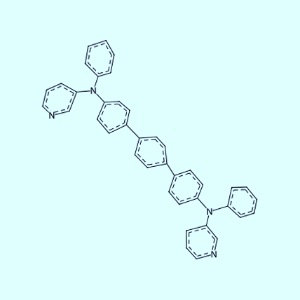 c1ccc(N(c2ccc(-c3ccc(-c4ccc(N(c5ccccc5)c5cccnc5)cc4)cc3)cc2)c2cccnc2)cc1